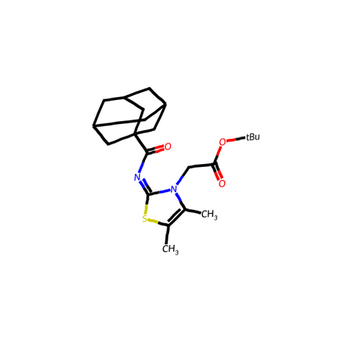 Cc1s/c(=N/C(=O)C23CC4CC(CC(C4)C2)C3)n(CC(=O)OC(C)(C)C)c1C